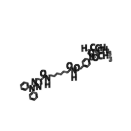 CC1(C)OB(c2ccc(CONC(=O)CCCCCCNC(=O)c3cnc(N(c4ccccc4)c4ccccc4)nc3)cc2)OC1(C)C